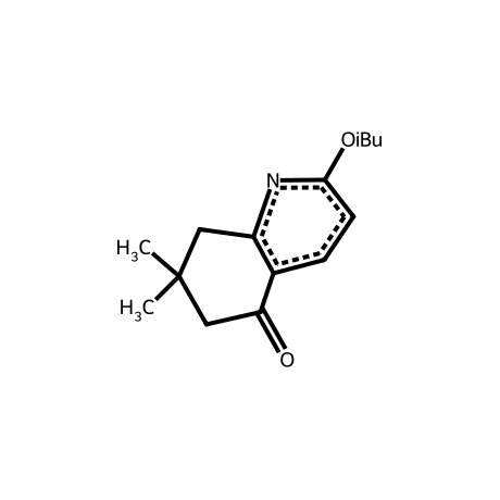 CC(C)COc1ccc2c(n1)CC(C)(C)CC2=O